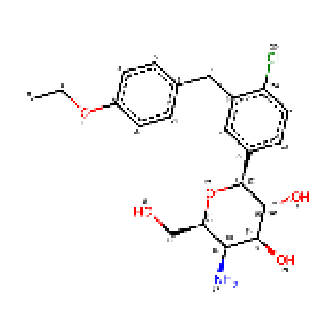 CCOc1ccc(Cc2cc([C@@H]3O[C@H](CO)[C@H](N)[C@H](O)[C@H]3O)ccc2Cl)cc1